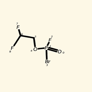 O=P(F)(Br)OCC(F)F